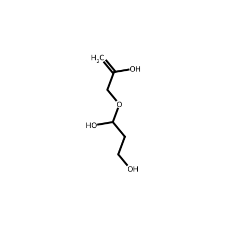 C=C(O)COC(O)CCO